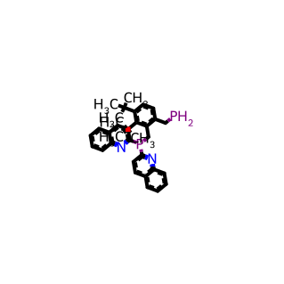 CC(C)(C)c1ccc(CP)c(CP(c2ccc3ccccc3n2)c2ccc3ccccc3n2)c1C(C)(C)C